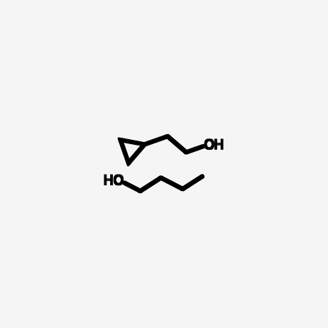 CCCCO.OCCC1CC1